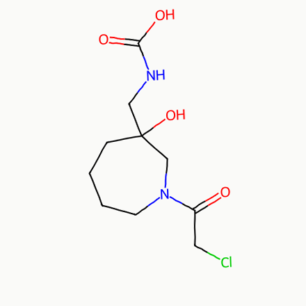 O=C(O)NCC1(O)CCCCN(C(=O)CCl)C1